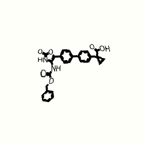 O=C(Nc1[nH]c(=O)oc1-c1ccc(-c2ccc(C3(C(=O)O)CC3)cc2)cc1)OCc1ccccc1